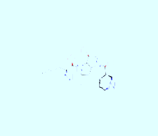 CC(C)CC(N)C(=O)N1CCC2C1C(=O)CN2C(=O)c1cccnc1